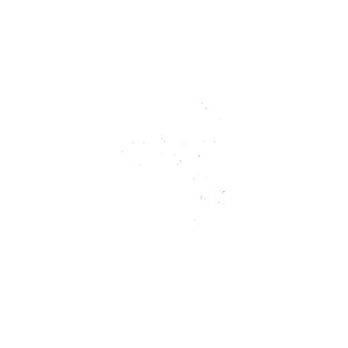 COC(=O)CCc1nnc(-c2ccc([C@H](c3cccc(O)c3)N3C[C@@H](C)N(Cc4ccccc4)C[C@@H]3C)cc2)[nH]1